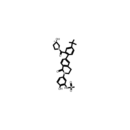 CC(C)(C)c1ccc(-c2ccc3c(c2)CCN(c2ccc(O)c(NS(C)(=O)=O)c2)C3=O)c(C(=O)N2CC[C@H](O)C2)c1